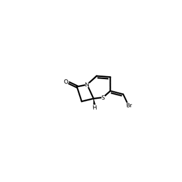 O=C1C[C@H]2S/C(=C\Br)C=CN12